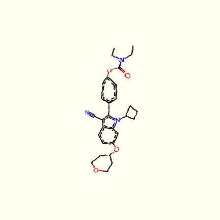 CCN(CC)C(=O)Oc1ccc(-c2c(C#N)c3ccc(OC4CCOCC4)cc3n2C2CCC2)cc1